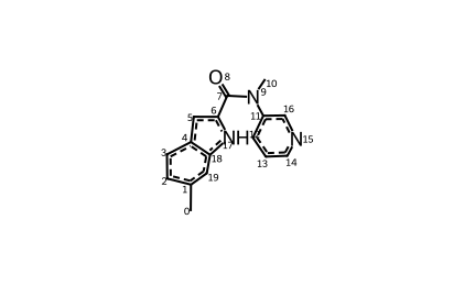 Cc1ccc2cc(C(=O)N(C)c3cccnc3)[nH]c2c1